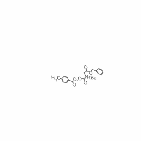 Cc1ccc(C(=O)OCOC(=O)N(CC(=O)OCc2ccccc2)C(C)(C)C)cc1